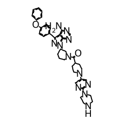 Nc1ncnc2c1c(-c1ccc(Oc3ccccc3)cc1)nn2[C@@H]1CCCN(C(=O)C2CCN(c3cnc(N4CCNCC4)nc3)CC2)C1